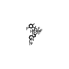 Cc1ccc(F)cc1C(C)(C)CC(O)(Cc1cc2nc(CN(C)C)ccc2[nH]1)C(F)(F)F